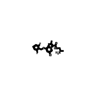 Cc1nc2c(OCc3c(F)cccc3F)cc(Cl)cn2c1C(=O)NCC(C)N